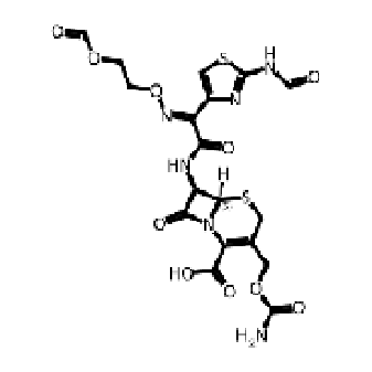 NC(=O)OCC1=C(C(=O)O)N2C(=O)C(NC(=O)C(=NOCCOC=O)c3csc(NC=O)n3)[C@@H]2SC1